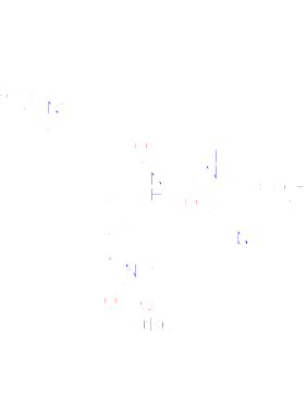 CCOC(=O)CC(NC(=O)CNC(=O)C(CCC1CCN(C(=O)O)CC1)CCC1CCN(C(=O)OC(C)(C)C)CC1)c1cccnc1